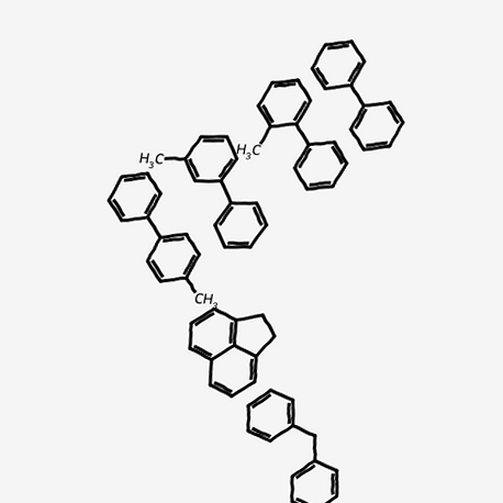 Cc1ccc(-c2ccccc2)cc1.Cc1cccc(-c2ccccc2)c1.Cc1ccccc1-c1ccccc1.c1cc2c3c(cccc3c1)CC2.c1ccc(-c2ccccc2)cc1.c1ccc(Cc2ccccc2)cc1